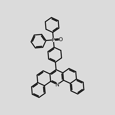 O=P(C1=CC=CCC1)(C1=CC=C(c2c3ccc4ccccc4c3nc3c2ccc2ccccc23)CC1)c1ccccc1